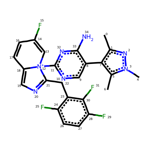 Cc1nn(C)c(C)c1-c1cnc([N+]23C=C(F)C=CC2=CN=C3Cc2c(F)ccc(F)c2F)nc1N